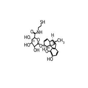 CN1CC[C@]23c4c5ccc(O)c4O[C@H]2[C@@H](O[C@@H]2OC(C(=O)NCCS)[C@@H](O)C(O)C2O)C=CC3[C@H]1C5